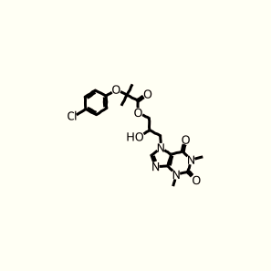 Cn1c(=O)c2c(ncn2CC(O)COC(=O)C(C)(C)Oc2ccc(Cl)cc2)n(C)c1=O